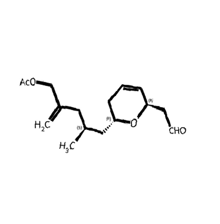 C=C(COC(C)=O)C[C@H](C)C[C@@H]1CC=C[C@@H](CC=O)O1